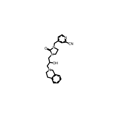 N#Cc1cc(CN2CCN(CC(O)CN3CCc4ccccc4C3)C2=O)ccn1